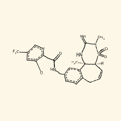 CN1C(=N)N[C@]2(C)c3cc(NC(=O)c4ncc(C(F)(F)F)cc4Cl)ccc3CC=C[C@@H]2S1(=O)=O